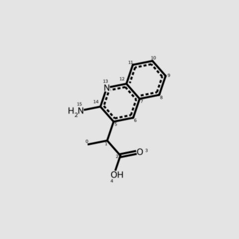 CC(C(=O)O)c1cc2ccccc2nc1N